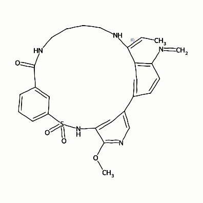 C=Nc1ccc2cc1/C(=C\C)NCCCCNC(=O)c1cccc(c1)S(=O)(=O)Nc1cc-2cnc1OC